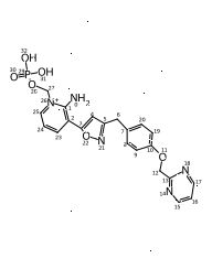 Nc1c(-c2cc(Cc3ccc(OCc4ncccn4)cc3)no2)ccc[n+]1COP(=O)(O)O